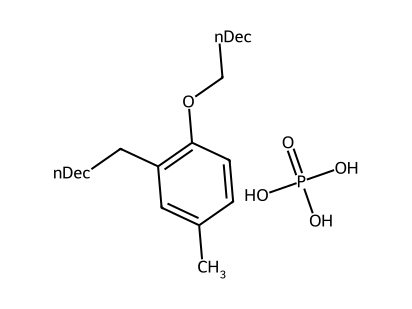 CCCCCCCCCCCOc1ccc(C)cc1CCCCCCCCCCC.O=P(O)(O)O